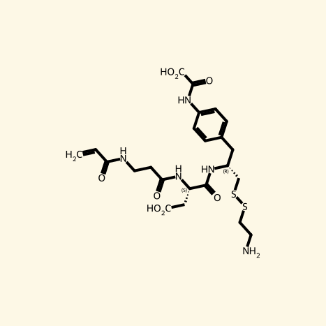 C=CC(=O)NCCC(=O)N[C@@H](CC(=O)O)C(=O)N[C@@H](CSSCCN)Cc1ccc(NC(=O)C(=O)O)cc1